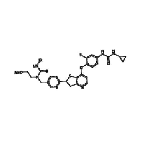 CCNC(=O)N(CCOC)Cc1ccc(C2Cc3nccc(Oc4ccc(NC(=O)NC5CC5)cc4F)c3S2)nc1